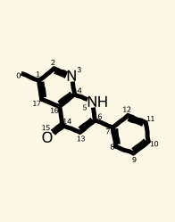 Cc1cnc2[nH]c(-c3ccccc3)cc(=O)c2c1